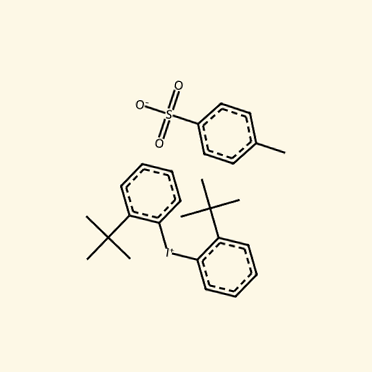 CC(C)(C)c1ccccc1[I+]c1ccccc1C(C)(C)C.Cc1ccc(S(=O)(=O)[O-])cc1